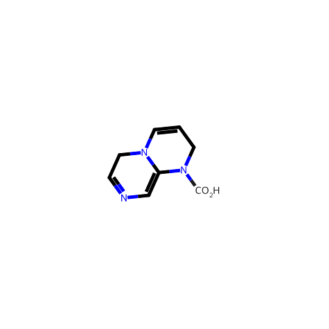 O=C(O)N1CC=CN2CC=NC=C21